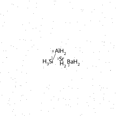 [AlH2][SiH3].[BaH2].[SrH2]